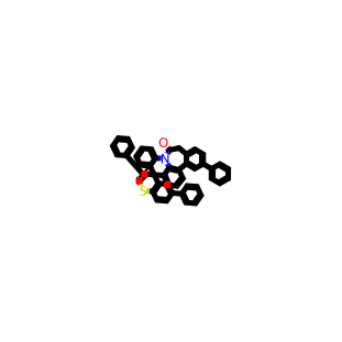 O=C1Cc2ccc(-c3ccccc3)cc2-c2cccc3c2N1c1ccccc1C31c2cc(-c3ccccc3)ccc2Sc2ccc(-c3ccccc3)cc21